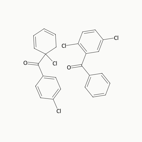 O=C(c1ccc(Cl)cc1)C1(Cl)C=CC=CC1.O=C(c1ccccc1)c1cc(Cl)ccc1Cl